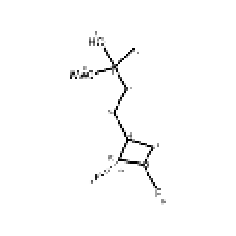 COC(C)(O)CCC1CC(F)[C@@H]1F